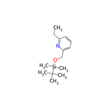 CCc1cccc(CO[Si](C)(C)C(C)(C)C)n1